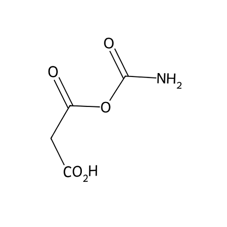 NC(=O)OC(=O)CC(=O)O